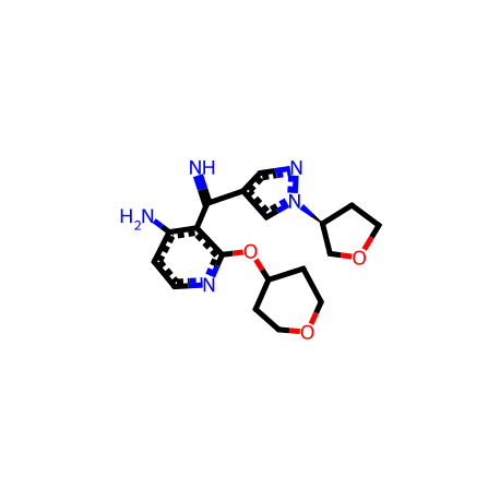 N=C(c1cnn([C@H]2CCOC2)c1)c1c(N)ccnc1OC1CCOCC1